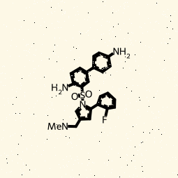 CNCc1cc(-c2ccccc2F)n(S(=O)(=O)c2cc(-c3ccc(N)cc3)ccc2N)c1